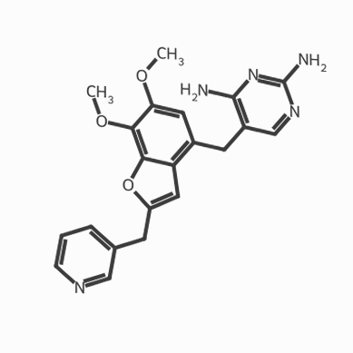 COc1cc(Cc2cnc(N)nc2N)c2cc(Cc3cccnc3)oc2c1OC